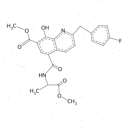 COC(=O)c1cc(C(=O)NC(C)C(=O)OC)c2ccc(Cc3ccc(F)cc3)nc2c1O